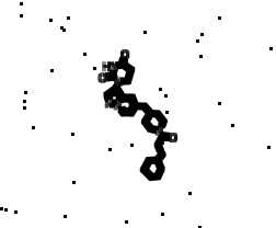 O=C1CCN(c2cnn3ccc(CC4CCN(C(=O)CCC5CCCCC5)CC4)cc23)C(=O)N1